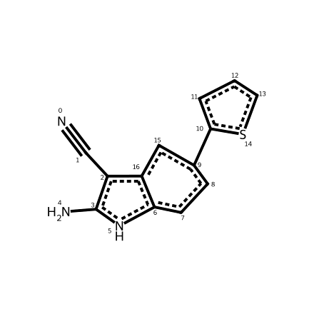 N#Cc1c(N)[nH]c2ccc(-c3cccs3)cc12